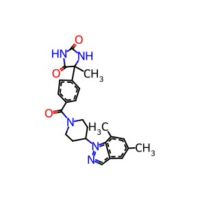 Cc1cc(C)c2c(cnn2C2CCN(C(=O)c3ccc(C4(C)NC(=O)NC4=O)cc3)CC2)c1